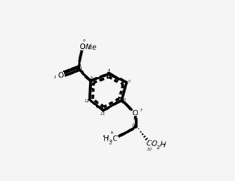 COC(=O)c1ccc(O[C@@H](C)C(=O)O)cc1